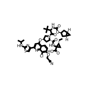 CC[C@@H]1CC1(NC(=O)[C@@H]1C[C@H](Oc2cc(-c3csc(NC(C)C)n3)nc3c(Cl)c(OCC#N)ccc23)CN1C(=O)C(NC(=O)O[C@@H]1C[C@@H]2C[C@@H]2C1)C(C)(C)C)C(=O)O